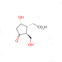 O=C(O)C[C@H]1[C@@H](O)CC(=O)[C@@H]1CO